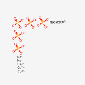 O=P([O-])([O-])[O-].O=P([O-])([O-])[O-].O=P([O-])([O-])[O-].O=P([O-])([O-])[O-].O=P([O-])([O-])[O-].[Ca+2].[Ca+2].[Ca+2].[Cu+2].[Cu+2].[Cu+2].[Na+].[Na+].[Na+]